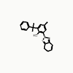 Cc1cc(-n2nc3c(n2)CCC=C3)c(O)c(C(C)(C)c2ccccc2)c1